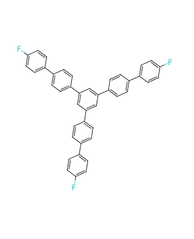 Fc1ccc(-c2ccc(-c3cc(-c4ccc(-c5ccc(F)cc5)cc4)cc(-c4ccc(-c5ccc(F)cc5)cc4)c3)cc2)cc1